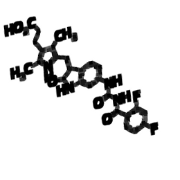 Cc1[nH]c(/C=C2\C(=O)Nc3cc(NC(=O)NC(=O)c4ccc(F)cc4F)ccc32)c(C)c1CCC(=O)O